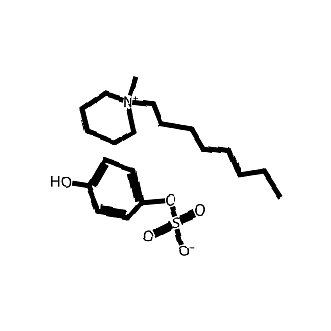 CCCCCCCC[N+]1(C)CCCCC1.O=S(=O)([O-])Oc1ccc(O)cc1